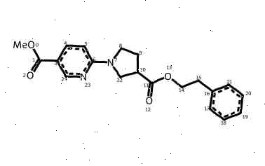 COC(=O)c1ccc(N2CCC(C(=O)OCCc3ccccc3)C2)nc1